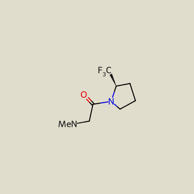 CNCC(=O)N1CCC[C@@H]1C(F)(F)F